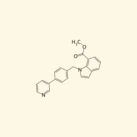 COC(=O)c1cccc2ccn(Cc3ccc(-c4cccnc4)cc3)c12